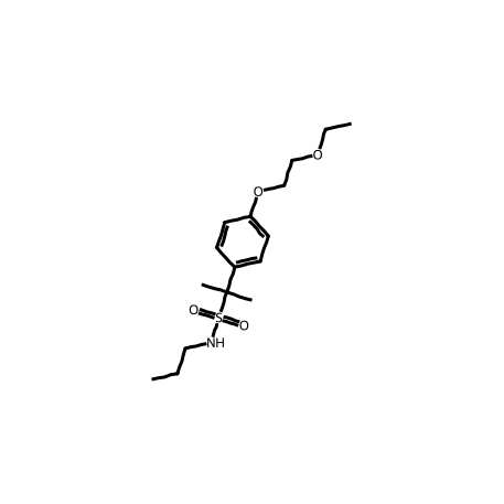 CCCNS(=O)(=O)C(C)(C)c1ccc(OCCOCC)cc1